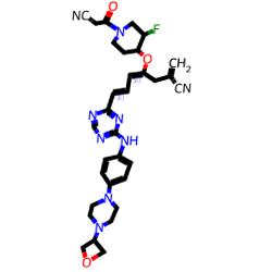 C=C(C#N)C/C(=C\C=C\c1ncnc(Nc2ccc(N3CCN(C4COC4)CC3)cc2)n1)OC1CCN(C(=O)CC#N)CC1F